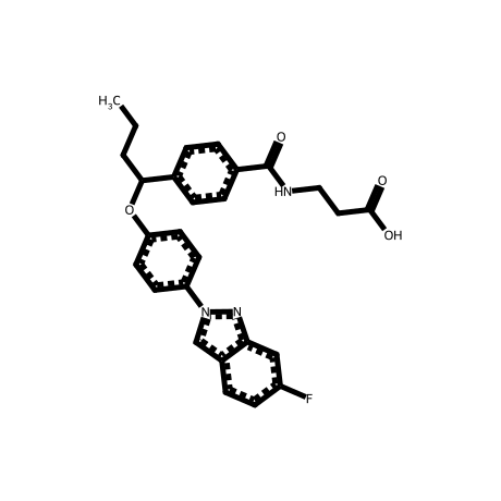 CCCC(Oc1ccc(-n2cc3ccc(F)cc3n2)cc1)c1ccc(C(=O)NCCC(=O)O)cc1